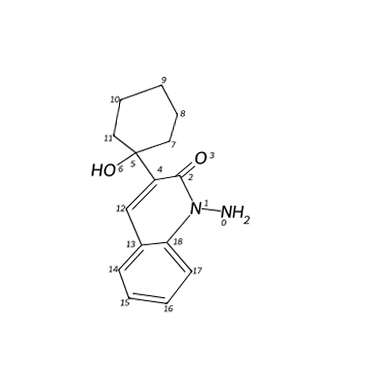 Nn1c(=O)c(C2(O)CCCCC2)cc2ccccc21